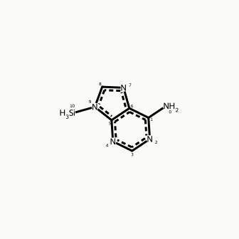 Nc1ncnc2c1ncn2[SiH3]